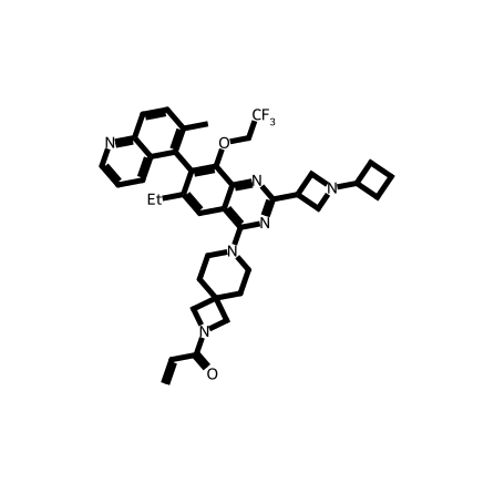 C=CC(=O)N1CC2(CCN(c3nc(C4CN(C5CCC5)C4)nc4c(OCC(F)(F)F)c(-c5c(C)ccc6ncccc56)c(CC)cc34)CC2)C1